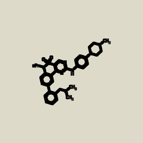 CCCN1c2ccc(-c3ccccc3CN(C)C)cc2-c2nc(Nc3ccc(N4CCN(C)CC4)cc3)ncc2S1(=O)=O